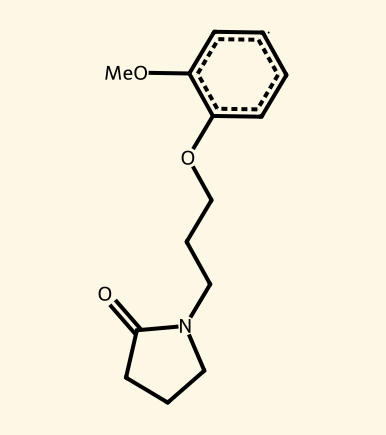 COc1c[c]ccc1OCCCN1CCCC1=O